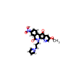 COc1cnc2c(c1)C(=O)c1c-2n(CCCn2cccc2)c(=O)c2cc([N+](=O)[O-])ccc12